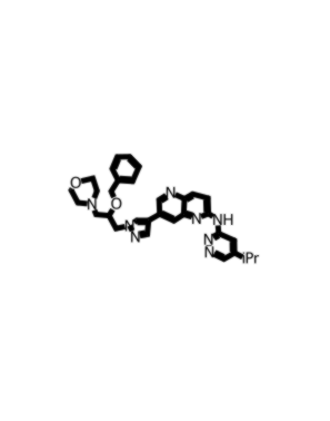 CC(C)c1cnnc(Nc2ccc3ncc(-c4cnn(CC(CN5CCOCC5)OCc5ccccc5)c4)cc3n2)c1